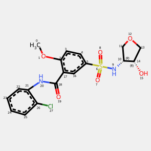 COc1ccc(S(=O)(=O)N[C@@H]2COC[C@@H]2O)cc1C(=O)Nc1ccccc1Cl